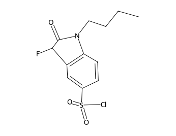 CCCCN1C(=O)C(F)c2cc(S(=O)(=O)Cl)ccc21